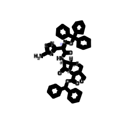 Nc1nc(/C(=N/OC(c2ccccc2)(c2ccccc2)c2ccccc2)C(=O)N[C@@H]2C(=O)N3C(C(=O)OC(c4ccccc4)c4ccccc4)=C(C=O)CS[C@H]23)ns1